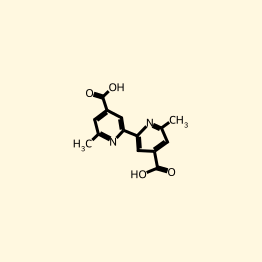 Cc1cc(C(=O)O)cc(-c2cc(C(=O)O)cc(C)n2)n1